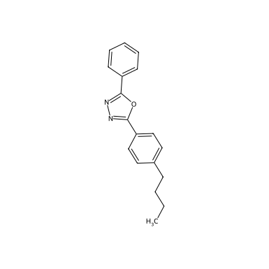 CCCCc1ccc(-c2nnc(-c3ccccc3)o2)cc1